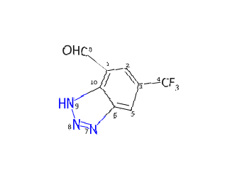 O=Cc1cc(C(F)(F)F)cc2nn[nH]c12